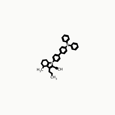 C#Cc1c(CCC)c2c(n1-c1ccc(-c3ccc(N(c4ccccc4)c4ccccc4)cc3)cc1)CCCC2C